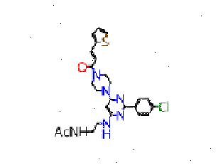 CC(=O)NCCNc1cc(N2CCN(C(=O)C=Cc3cccs3)CC2)nc(-c2ccc(Cl)cc2)n1